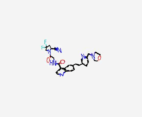 N#CC1CC(F)(F)CN1C(=O)CNC(=O)c1ccnc2ccc(C=Cc3ccc(CN4CCOCC4)nc3)cc12